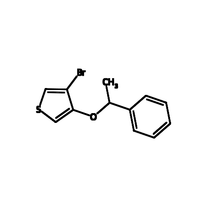 CC(Oc1cscc1Br)c1ccccc1